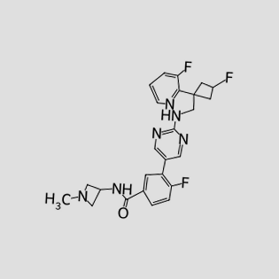 CN1CC(NC(=O)c2ccc(F)c(-c3cnc(NCC4(c5ncccc5F)CC(F)C4)nc3)c2)C1